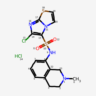 CN1CCc2cccc(NS(=O)(=O)c3c(Cl)nc4sccn34)c2C1.Cl